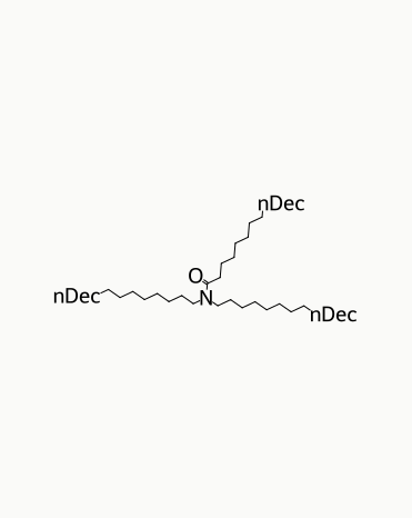 CCCCCCCCCCCCCCCCCCN(CCCCCCCCCCCCCCCCCC)C(=O)CCCCCCCCCCCCCCCCC